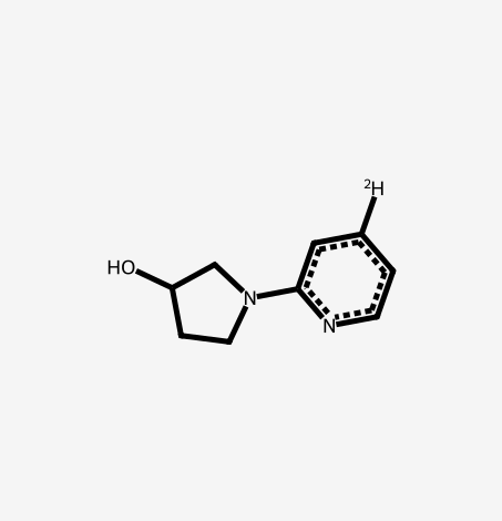 [2H]c1ccnc(N2CCC(O)C2)c1